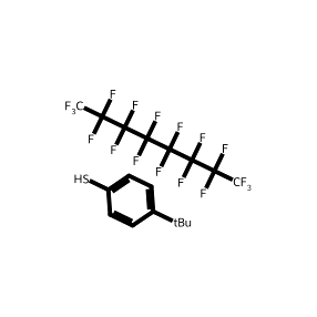 CC(C)(C)c1ccc(S)cc1.FC(F)(F)C(F)(F)C(F)(F)C(F)(F)C(F)(F)C(F)(F)C(F)(F)C(F)(F)F